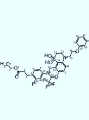 CCOC(=O)CCc1ccc(N(Cc2cccc3c2S(O)(O)CCN3CCOc2ccccc2)C(=O)C(F)(F)F)cc1F